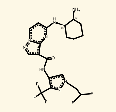 N[C@H]1CCCC[C@H]1Nc1ccn2ncc(C(=O)Nc3cn(CC(F)F)nc3C(F)(F)F)c2n1